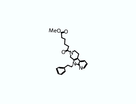 COC(=O)CCCCC(=O)N1CCc2c(n(CCc3ccccc3)c3ncccc23)C1